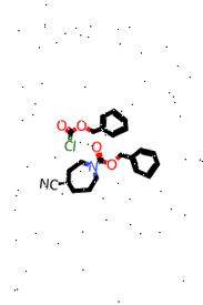 N#C[C@@H]1CCCN(C(=O)OCc2ccccc2)CC1.O=C(Cl)OCc1ccccc1